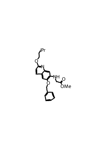 COC(=O)CNc1cc2nc(OCCC(C)C)ccc2cc1OCc1ccccc1